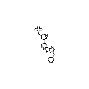 O=[SH](=O)Cc1cncc(-c2ccnc(-c3ncc(Cc4ccccc4)[nH]3)c2)c1